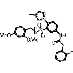 COc1ccc(CNS(=O)(=O)c2cc(NC(=O)Cc3ccccc3F)ccc2-n2cc(C)cn2)c(OC)c1